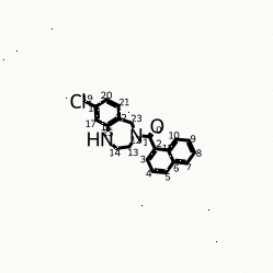 O=C(c1cccc2ccccc12)N1CCNc2cc(Cl)ccc2C1